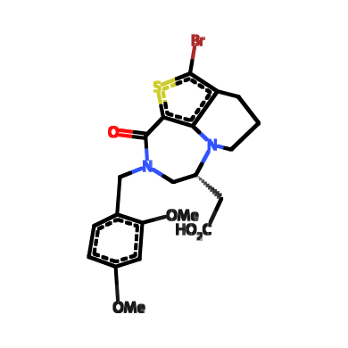 COc1ccc(CN2C[C@@H](CC(=O)O)N3CCCc4c(Br)sc(c43)C2=O)c(OC)c1